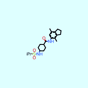 Cc1cc(NC(=O)C2CCC(NS(=O)(=O)C(C)C)CC2)c(C)c2c1CCC2